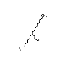 CCCCCCCCCC(CCS)CCCCCCC